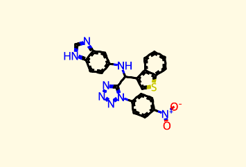 O=[N+]([O-])c1ccc(-n2nnnc2C(Nc2ccc3[nH]cnc3c2)c2csc3ccccc23)cc1